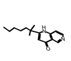 CCCCCC(C)(C)c1cc(=O)c2cnccc2[nH]1